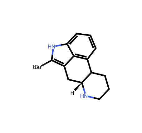 CC(C)(C)c1[nH]c2cccc3c2c1C[C@H]1NCCCC31